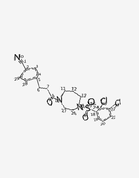 N#Cc1ccc(CCC(=O)N2CCCN(S(=O)(=O)c3cccc(Cl)c3Cl)CC2)cc1